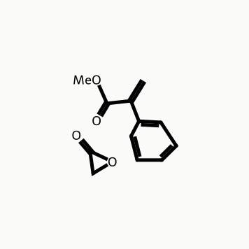 C=C(C(=O)OC)c1ccccc1.O=C1CO1